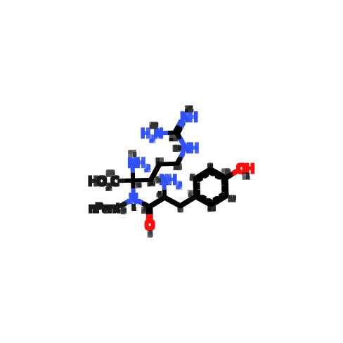 CCCCCN(C(=O)C(N)Cc1ccc(O)cc1)C(N)(CCCNC(=N)N)C(=O)O